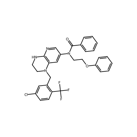 O=C(c1ccccc1)N(CCOc1ccccc1)c1cnc2c(c1)N(Cc1cc(Cl)ccc1C(F)(F)F)CCN2